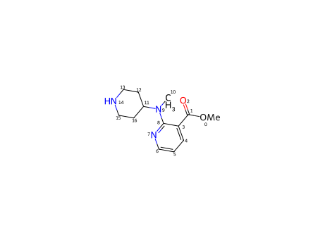 COC(=O)c1cccnc1N(C)C1CCNCC1